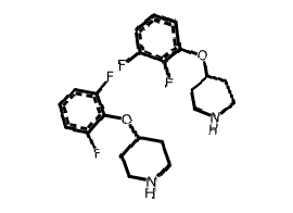 Fc1cccc(F)c1OC1CCNCC1.Fc1cccc(OC2CCNCC2)c1F